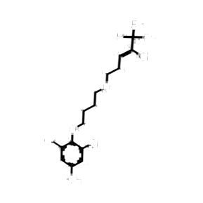 Oc1cc(Cl)c(OCCCCOCC/C=C(\Cl)C(F)(F)F)c(Cl)c1